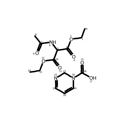 CCOC(=O)C(NC(C)=O)C(=O)OCC.O=C(O)N1C=CC=NC1